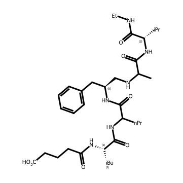 CCCC(NC(=O)[C@@H](NC(=O)CCCC(=O)O)[C@@H](C)CC)C(=O)N[C@H](CNC(C)C(=O)N[C@H](C(=O)NCC)C(C)C)Cc1ccccc1